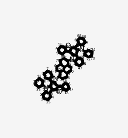 C1=CC2=C(n3c4ccccc4c4c3c3c5ccccc5oc3c3c5ccccc5n(-c5ccccc5)c34)C=CC3=CC=C4C(n5c6ccccc6c6c5c5c7ccccc7oc5c5c7ccccc7n(-c7ccccc7)c56)=CC=C1C4C32